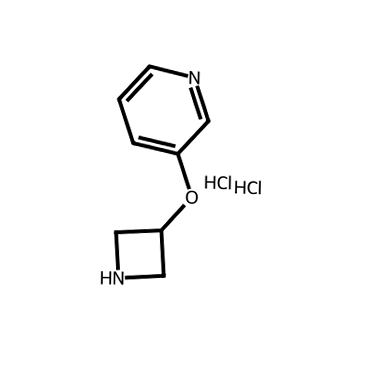 Cl.Cl.c1cncc(OC2CNC2)c1